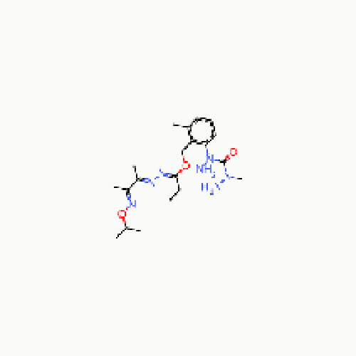 CCC(=N/N=C(\C)C(C)=NOC(C)C)OCc1c(C)cccc1N(N)C(=O)N(C)N